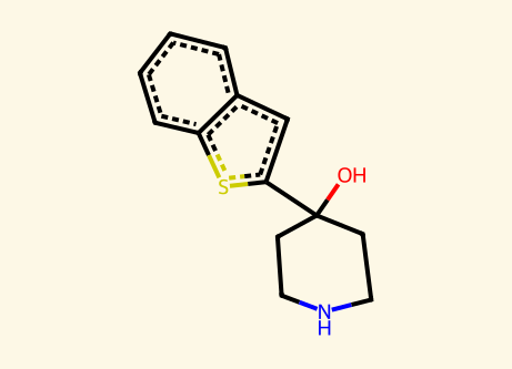 OC1(c2cc3ccccc3s2)CCNCC1